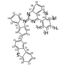 [2H]c1c([2H])c([2H])c(-c2nc(-n3c4ccccc4c4cc(-c5ccc6sc7ccccc7c6c5)ccc43)nc3ccccc23)c([2H])c1[2H]